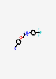 C/C(COc1ccc(C#N)cc1)=N\Nc1ccc(C(F)(F)F)cc1